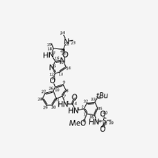 COc1c(NC(=O)Nc2ccc(Oc3ccnc(NC(C)C(=O)N(C)C)n3)c3ccccc23)cc(C(C)(C)C)cc1NS(C)(=O)=O